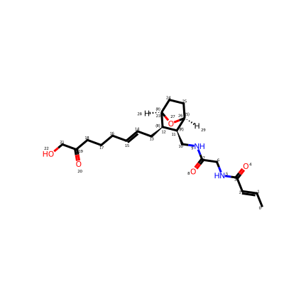 CC=CC(=O)NCC(=O)NC[C@H]1[C@@H](CC=CCCCC(=O)CO)[C@H]2CC[C@@H]1O2